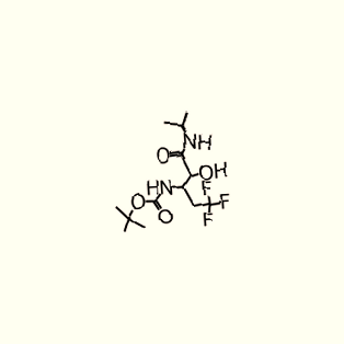 CC(C)NC(=O)C(O)C(CC(F)(F)F)NC(=O)OC(C)(C)C